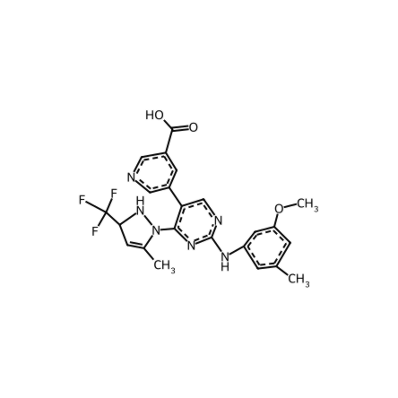 COc1cc(C)cc(Nc2ncc(-c3cncc(C(=O)O)c3)c(N3NC(C(F)(F)F)C=C3C)n2)c1